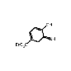 CCOC(=O)C1=CC=C(O)C(=N)C1